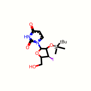 CC(C)(C)[Si](C)(C)OC1C(n2ccc(=O)[nH]c2=O)OC(CO)[C@@H]1I